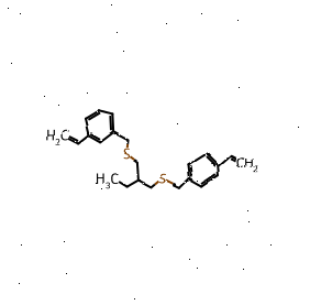 C=Cc1ccc(CSCC(CC)CSCc2cccc(C=C)c2)cc1